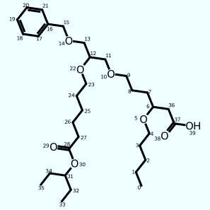 CCCCCOC(CCCOCC(COCc1ccccc1)OCCCCCC(=O)OC(CC)CC)CC(=O)O